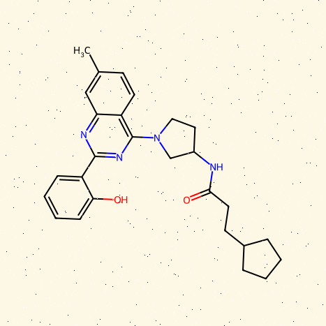 Cc1ccc2c(N3CCC(NC(=O)CCC4CCCC4)C3)nc(-c3ccccc3O)nc2c1